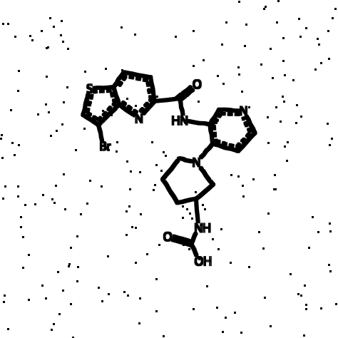 O=C(O)NC1CCCN(c2ccncc2NC(=O)c2ccc3scc(Br)c3n2)C1